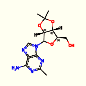 Cc1nc(N)c2ncn(C3O[C@H](CO)[C@H]4OC(C)(C)O[C@@H]34)c2n1